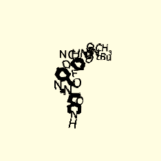 CN(C(C)(C)C)S(=O)(=O)Nc1ccc(F)c(Oc2ccc3ncn([C@H]4COC5(CCNCC5)C4)c(=O)c3c2)c1C#N